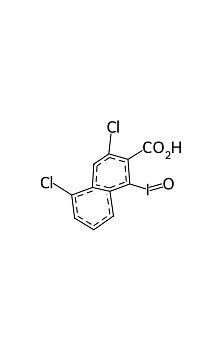 O=Ic1c(C(=O)O)c(Cl)cc2c(Cl)cccc12